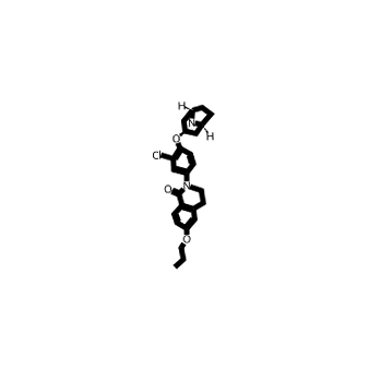 CCCOc1ccc2c(c1)CCN(c1ccc(O[C@H]3C[C@H]4CC[C@@H](C3)N4C)c(Cl)c1)C2=O